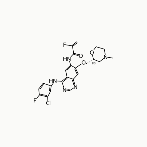 C=C(F)C(=O)Nc1cc2c(Nc3ccc(F)c(Cl)c3)ncnc2cc1OC[C@H]1CN(C)CCO1